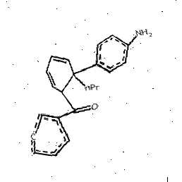 CCCC1(c2ccc(N)cc2)C=CC=CC1C(=O)c1ccccc1